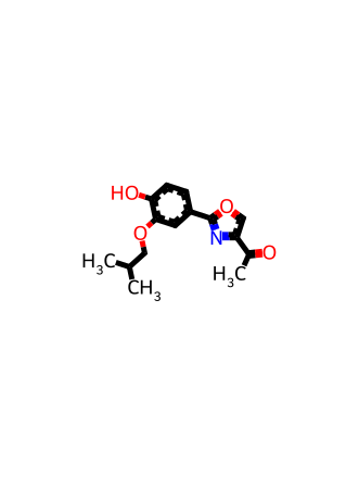 CC(=O)c1coc(-c2ccc(O)c(OCC(C)C)c2)n1